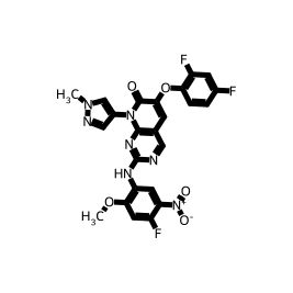 COc1cc(F)c([N+](=O)[O-])cc1Nc1ncc2cc(Oc3ccc(F)cc3F)c(=O)n(-c3cnn(C)c3)c2n1